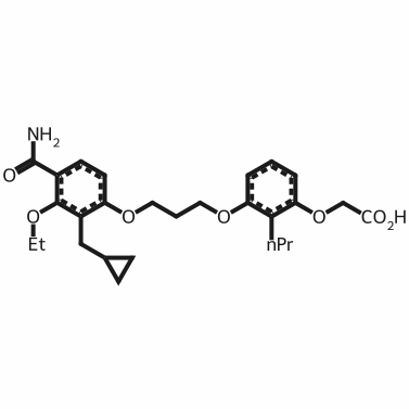 CCCc1c(OCCCOc2ccc(C(N)=O)c(OCC)c2CC2CC2)cccc1OCC(=O)O